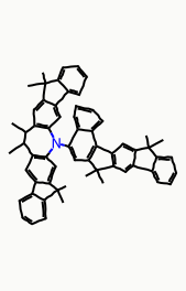 CC1c2cc3c(cc2N(c2cc4c(c5ccccc25)-c2cc5c(cc2C4(C)C)-c2ccccc2C5(C)C)c2cc4c(cc2C1C)-c1ccccc1C4(C)C)-c1ccccc1C3(C)C